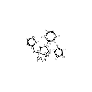 O=C(O)[C@]1(Cc2ccsn2)C[C@H](c2cnccn2)[C@H](c2nccs2)N1